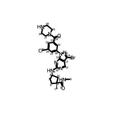 CNC(=O)[C@]1(C)CC[C@@H](Nc2ncc3c(Br)nn(-c4cc(Cl)cc(C(=O)N5CCNCC5)c4)c3n2)C1